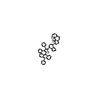 c1ccc(-c2c(-c3ccc(-c4ccc5ccc6cccnc6c5n4)c4ccccc34)sc(-c3c4ccccc4c(-c4ccccc4)c4ccccc34)c2-c2ccccc2)cc1